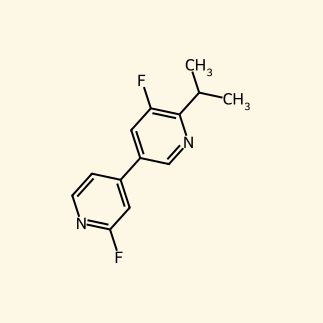 CC(C)c1ncc(-c2ccnc(F)c2)cc1F